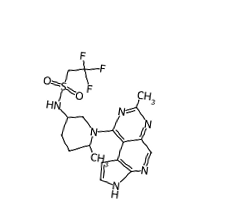 Cc1nc(N2CC(NS(=O)(=O)CC(F)(F)F)CCC2C)c2c(cnc3[nH]ccc32)n1